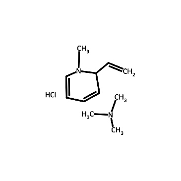 C=CC1C=CC=CN1C.CN(C)C.Cl